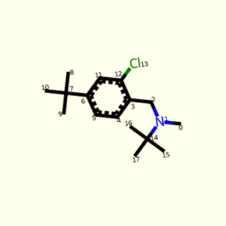 CN(Cc1ccc(C(C)(C)C)cc1Cl)C(C)(C)C